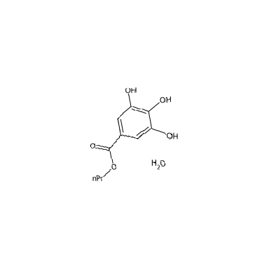 CCCOC(=O)c1cc(O)c(O)c(O)c1.O